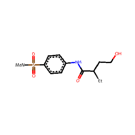 CCC(CCO)C(=O)Nc1ccc(S(=O)(=O)NC)cc1